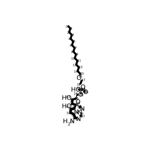 CCCCCCCCCCCCCCCCOCCOP(=O)(O)OC[C@H]1O[C@@](C#N)(c2ccc3c(N)ncnn23)[C@H](O)[C@@H]1O